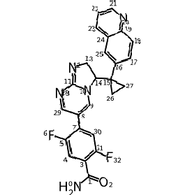 NC(=O)c1cc(F)c(C2=CN3C(=NCC3C3(c4ccc5ncccc5c4)CC3)N=C2)cc1F